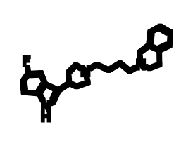 Fc1ccc2[nH]cc(C3CCN(CCCCN4CCc5ccccc5C4)CC3)c2c1